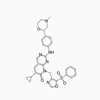 CN1CCOC(c2ccc(Nc3ncc4cc(C5CC5)c(=O)n(Cc5ncoc5S(=O)(=O)c5ccccc5)c4n3)cc2)C1